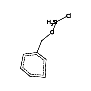 Cl[SiH2]OCc1ccccc1